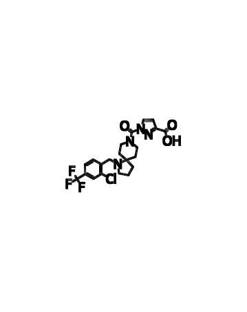 O=C(O)c1ccn(C(=O)N2CCC3(CCCN3Cc3ccc(C(F)(F)F)cc3Cl)CC2)n1